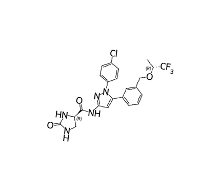 C[C@@H](OCc1cccc(-c2cc(NC(=O)[C@H]3CNC(=O)N3)nn2-c2ccc(Cl)cc2)c1)C(F)(F)F